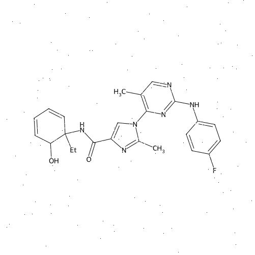 CCC1(NC(=O)c2cn(-c3nc(Nc4ccc(F)cc4)ncc3C)c(C)n2)C=CC=CC1O